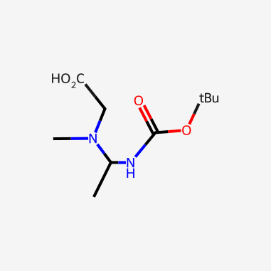 CC(NC(=O)OC(C)(C)C)N(C)CC(=O)O